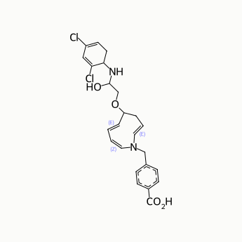 O=C(O)c1ccc(CN2/C=C\C=C\C(OCC(O)NC3CC=C(Cl)C=C3Cl)C/C=C/2)cc1